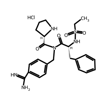 CCS(=O)(=O)N[C@H](Cc1ccccc1)C(=O)N(Cc1ccc(C(=N)N)cc1)C(=O)[C@@H]1CCCN1.Cl